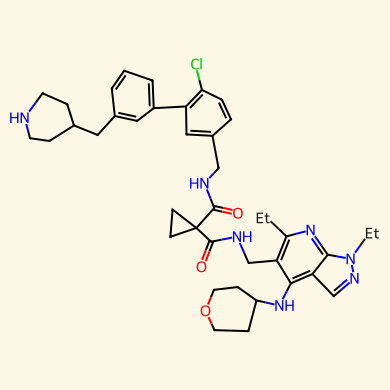 CCc1nc2c(cnn2CC)c(NC2CCOCC2)c1CNC(=O)C1(C(=O)NCc2ccc(Cl)c(-c3cccc(CC4CCNCC4)c3)c2)CC1